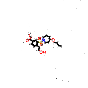 CCCCOC1CCCN(S(=O)(=O)c2cc(C(=O)OC)ccc2CCO)CC1